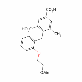 COCCOc1ccccc1Cc1c(C)cc(C(=O)O)cc1C(=O)O